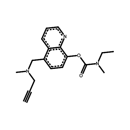 C#CCN(C)Cc1ccc(OC(=O)N(C)CC)c2ncccc12